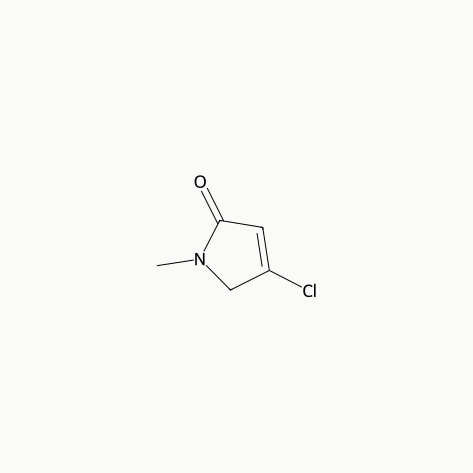 CN1CC(Cl)=CC1=O